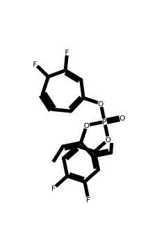 C/C=C\C(=C/C)OP(=O)(OC1=CC#CC(F)C(F)=C1)Oc1ccc(F)c(F)c1